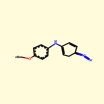 CCCCOc1ccc(NC2=CCC(=[N+]=[N-])C=C2)cc1